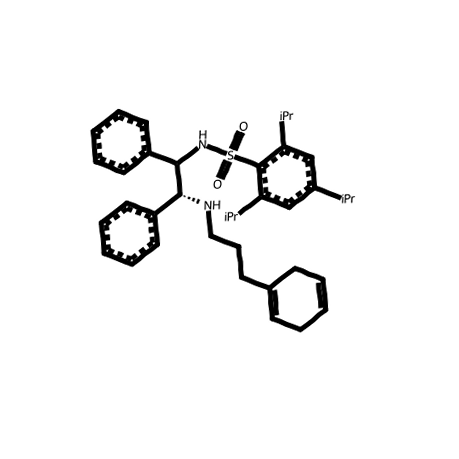 CC(C)c1cc(C(C)C)c(S(=O)(=O)NC(c2ccccc2)[C@H](NCCCC2=CCC=CC2)c2ccccc2)c(C(C)C)c1